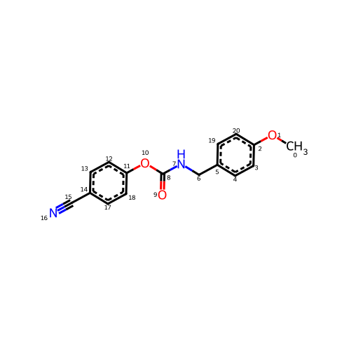 COc1ccc(CNC(=O)Oc2ccc(C#N)cc2)cc1